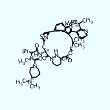 CCn1c(-c2cccnc2[C@H](C)OC)c2c3cc(ccc31)-c1csc(n1)C[C@H](NC(=O)[C@H](C(C)C)N(C)C(=O)N1CCC[C@H](N(C)C)CC1)C(=O)N1CCC[C@@](O)(N1)C(=O)OCC(C)(C)C2